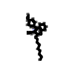 CCCCCCCCOC(=O)/C(C#N)=C(\c1ccccc1)c1ccc(OC)cc1